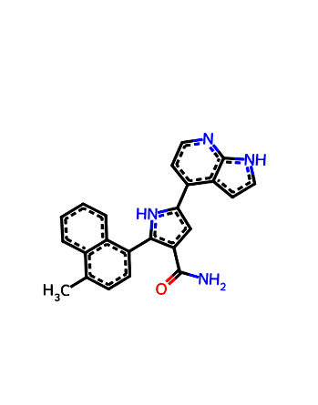 Cc1ccc(-c2[nH]c(-c3ccnc4[nH]ccc34)cc2C(N)=O)c2ccccc12